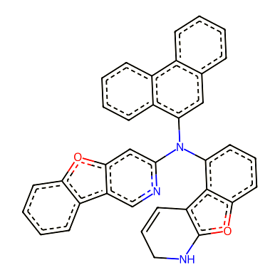 C1=Cc2c(oc3cccc(N(c4cc5oc6ccccc6c5cn4)c4cc5ccccc5c5ccccc45)c23)NC1